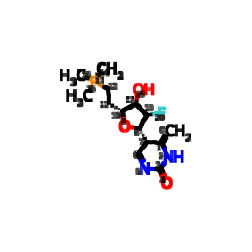 C=C1NC(=O)N=CC1[C@@H]1O[C@H](CCP(=C)(C)C)[C@@H](O)[C@H]1F